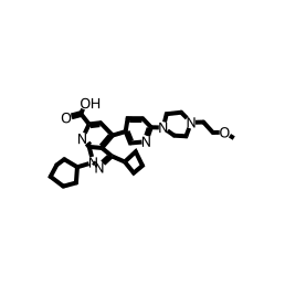 COCCN1CCN(c2ccc(-c3cc(C(=O)O)nc4c3c(C3CCC3)nn4C3CCCCC3)cn2)CC1